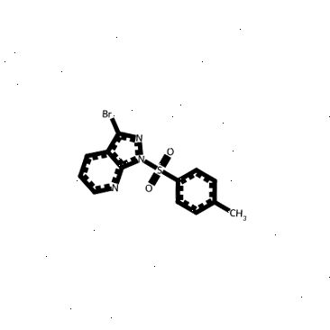 Cc1ccc(S(=O)(=O)n2nc(Br)c3cccnc32)cc1